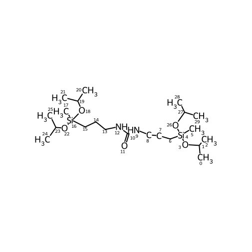 CC(C)O[Si](C)(CCCNC(=O)NCCC[Si](C)(OC(C)C)OC(C)C)OC(C)C